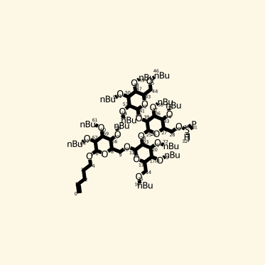 C=CCCCOC1OC(COC2OC(COCCCC)C(OCCCC)C(OCCCC)C2OC2OC(CO[SH](#P)I)C(OCCCC)C(OCCCC)C2OC2OC(COCCCC)C(OCCCC)C(OCCCC)C2OCCCC)C(OCCCC)C(OCCCC)C1OCCCC